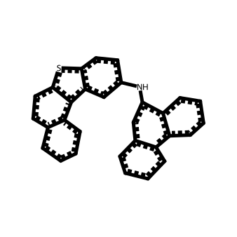 c1ccc2c(c1)cc(Nc1ccc3sc4ccc5ccccc5c4c3c1)c1ccccc12